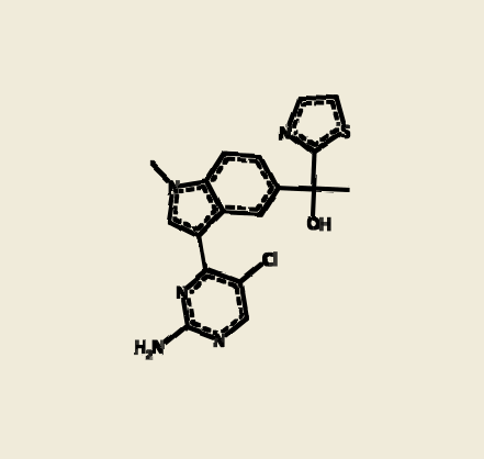 Cn1cc(-c2nc(N)ncc2Cl)c2cc(C(C)(O)c3nccs3)ccc21